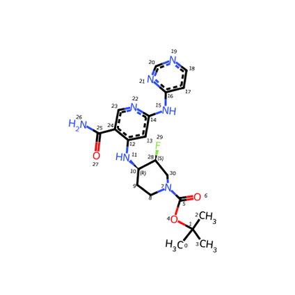 CC(C)(C)OC(=O)N1CC[C@@H](Nc2cc(Nc3ccncn3)ncc2C(N)=O)[C@@H](F)C1